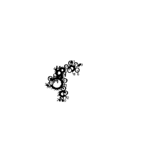 CCO[C@@H]1[C@@H](OC)[C@H](C)O[C@@H](O[C@@H]2C[C@@H]3[C@@H]4C=C5C(=O)[C@H](C)[C@@H](O[C@H]6CC[C@H](N(C)C)[C@@H](C)O6)CCC[C@H](CC)OC(=O)C[C@H]5[C@H]4C=C(C)[C@H]3C2)[C@@H]1OC